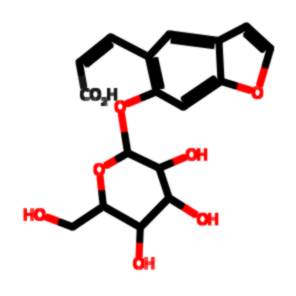 O=C(O)/C=C\c1cc2ccoc2cc1OC1OC(CO)C(O)C(O)C1O